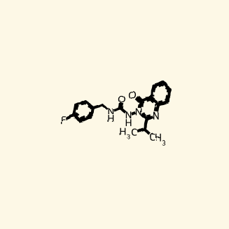 CC(C)c1nc2ccccc2c(=O)n1NC(=O)NCc1ccc(F)cc1